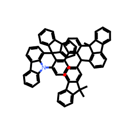 CC1(C)c2ccccc2-c2ccc(C3c4cccc5c4C(C)(c4ccccc4-5)c4cccc(-c5cccc6c5C5(c7ccccc7-c7ccccc75)c5cccc7c8ccccc8n-6c57)c43)cc21